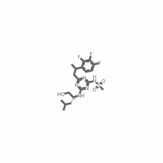 CC(C)C[C@H](CO)Nc1nc(CC(C)c2ccc(F)c(F)c2F)nc(NS(C)(=O)=O)n1